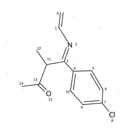 C=C/N=C(/c1ccc(Cl)cc1)C(C)C(C)=O